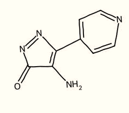 NC1=C(c2ccncc2)N=NC1=O